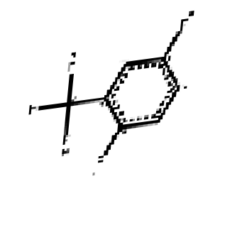 Fc1c[c]c(F)c(C(F)(F)F)c1